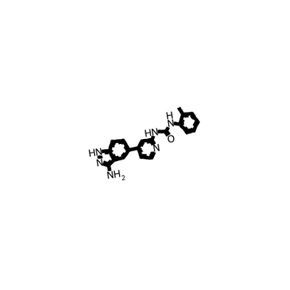 Cc1ccccc1NC(=O)Nc1cc(-c2ccc3[nH]nc(N)c3c2)ccn1